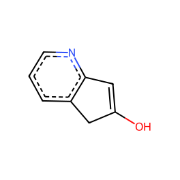 OC1=Cc2ncccc2C1